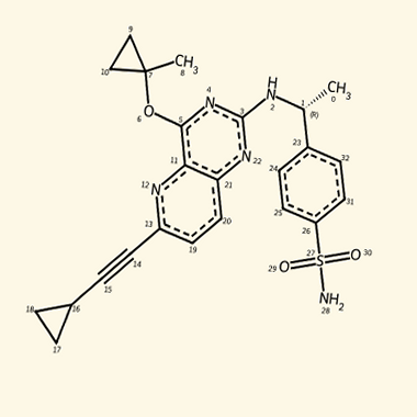 C[C@@H](Nc1nc(OC2(C)CC2)c2nc(C#CC3CC3)ccc2n1)c1ccc(S(N)(=O)=O)cc1